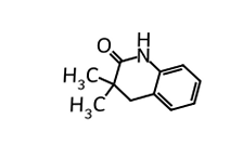 CC1(C)Cc2ccccc2NC1=O